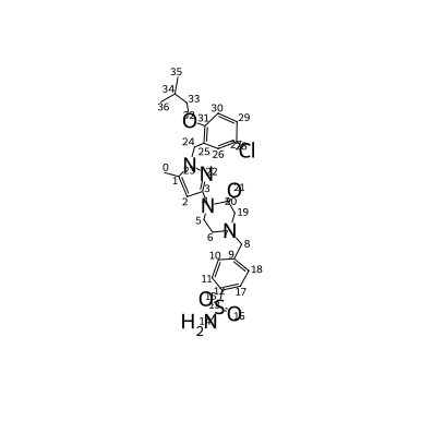 Cc1cc(N2CCN(Cc3ccc(S(N)(=O)=O)cc3)CC2=O)nn1Cc1cc(Cl)ccc1OCC(C)C